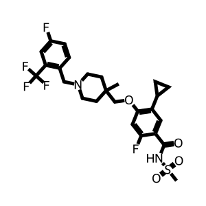 CC1(COc2cc(F)c(C(=O)NS(C)(=O)=O)cc2C2CC2)CCN(Cc2ccc(F)cc2C(F)(F)F)CC1